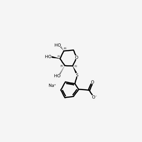 O=C([O-])c1ccccc1S[C@@H]1OC[C@@H](O)[C@H](O)[C@H]1O.[Na+]